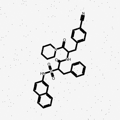 N#Cc1ccc(CC(NC(=O)C(Cc2ccccc2)S(=O)(=O)Nc2ccc3ccccc3c2)C(=O)N2CCCCC2)cc1